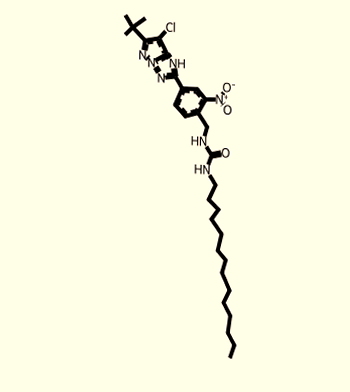 CCCCCCCCCCCCCCNC(=O)NCc1ccc(-c2nn3nc(C(C)(C)C)c(Cl)c3[nH]2)cc1[N+](=O)[O-]